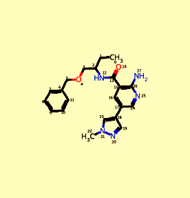 CCC(COCc1ccccc1)NC(=O)c1cc(-c2cnn(C)c2)cnc1N